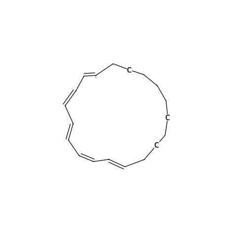 [C]1=C/C=C/C=C/C=C\C=C\CCCCCCCCC/1